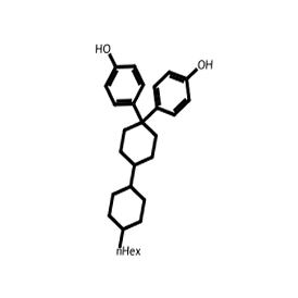 CCCCCCC1CCC(C2CCC(c3ccc(O)cc3)(c3ccc(O)cc3)CC2)CC1